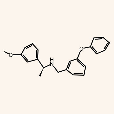 COc1cccc([C@H](C)NCc2cccc(Oc3ccccc3)c2)c1